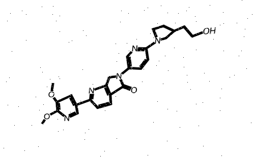 COc1cc(-c2ccc3c(n2)CN(c2ccc(N4CCC(CCO)C4)nc2)C3=O)cnc1OC